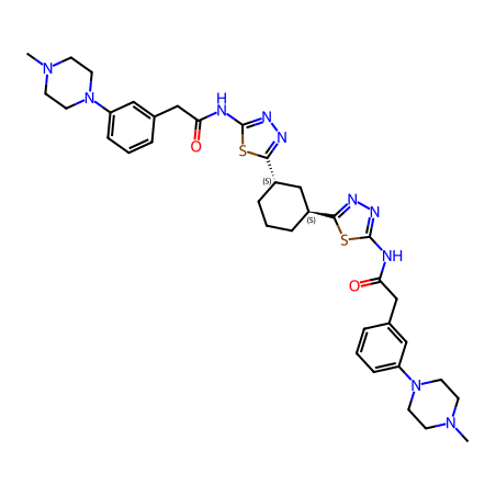 CN1CCN(c2cccc(CC(=O)Nc3nnc([C@H]4CCC[C@H](c5nnc(NC(=O)Cc6cccc(N7CCN(C)CC7)c6)s5)C4)s3)c2)CC1